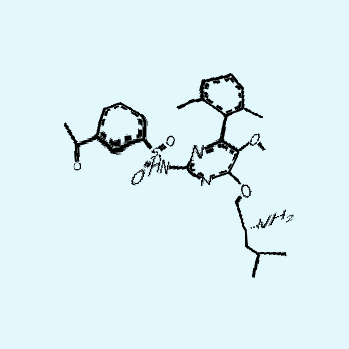 COc1c(OC[C@H](N)CC(C)C)nc(NS(=O)(=O)c2cccc(C(C)=O)c2)nc1-c1c(C)cccc1C